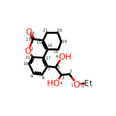 CCOCC(O)C(O)c1cccc2oc(=O)c3c(c12)CCCC3